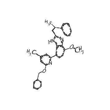 COc1ccc(-c2cc(C)cc(OCc3ccccc3)n2)c2[nH]c(CC(C)c3ccccc3)nc12